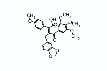 COc1ccc(C(C(=O)O)=C(Cc2ccc3c(c2)OCO3)C(=O)c2cc(OC)c(OC)c(OC)c2)cc1